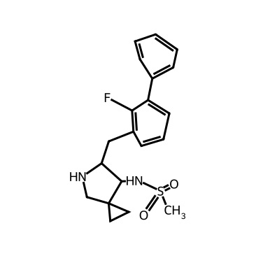 CS(=O)(=O)NC1C(Cc2cccc(-c3ccccc3)c2F)NCC12CC2